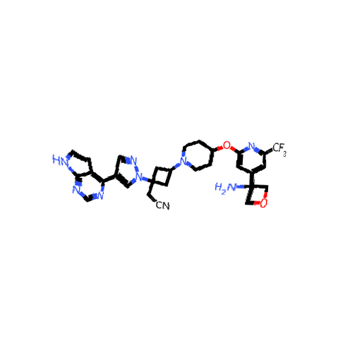 N#CCC1(n2cc(-c3ncnc4[nH]ccc34)cn2)CC(N2CCC(Oc3cc(C4(N)COC4)cc(C(F)(F)F)n3)CC2)C1